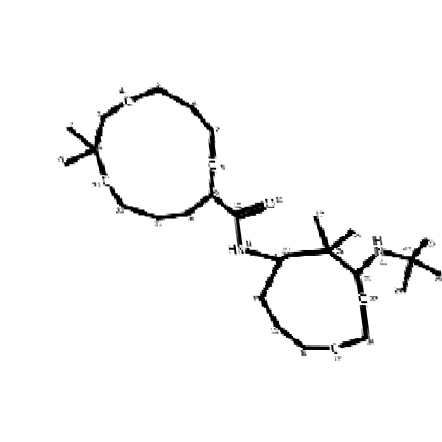 CC1(C)CCCCCCC(C(=O)NC2CCCCCCC(NC(C)(C)C)C(C)(C)C2)CCCC1